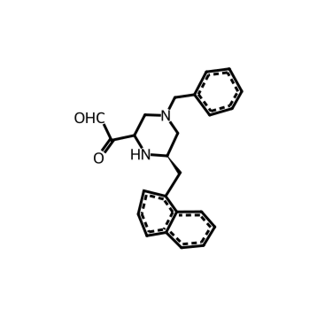 O=CC(=O)C1CN(Cc2ccccc2)C[C@@H](Cc2cccc3ccccc23)N1